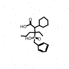 CCCC(CC)(C(C(=O)O)C1CCCCC1)P(=O)(O)Cc1ccccc1